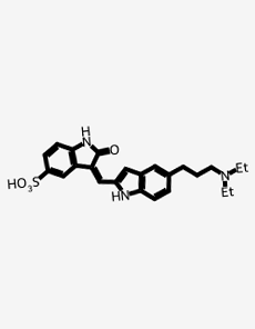 CCN(CC)CCCc1ccc2[nH]c(C=C3C(=O)Nc4ccc(S(=O)(=O)O)cc43)cc2c1